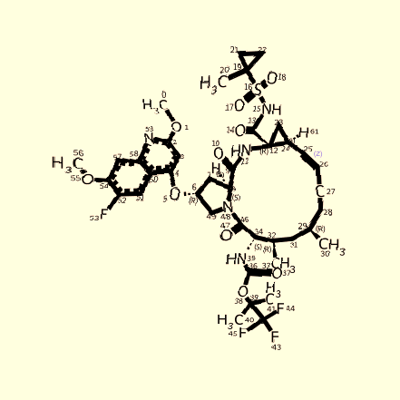 COc1cc(O[C@@H]2C[C@H]3C(=O)N[C@]4(C(=O)NS(=O)(=O)C5(C)CC5)C[C@H]4/C=C\CC[C@@H](C)C[C@@H](C)[C@H](NC(=O)OC(C)(C)C(F)(F)F)C(=O)N3C2)c2cc(F)c(OC)cc2n1